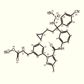 Cc1cc(C(=O)Nc2cccc(C(CCC3CC3)(N[S@+]([O-])C(C)(C)C)c3ccc(C#N)cc3)c2)n(-c2cccc(CNC(=O)OC(C)(C)C)c2)n1